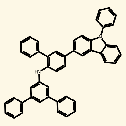 c1ccc(-c2cc(Nc3ccc(-c4ccc5c(c4)c4ccccc4n5-c4ccccc4)cc3-c3ccccc3)cc(-c3ccccc3)c2)cc1